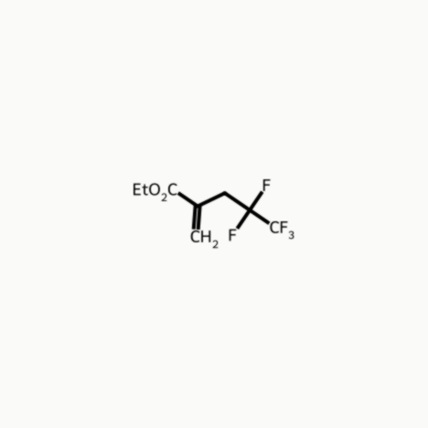 C=C(CC(F)(F)C(F)(F)F)C(=O)OCC